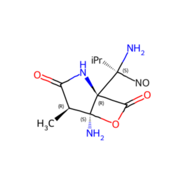 CC(C)[C@](N)(N=O)[C@@]12NC(=O)[C@H](C)[C@]1(N)OC2=O